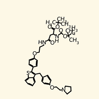 CC(C)(C)OC(=O)NC(CC(=O)NCCCOc1ccc(-c2sc3ccccc3c2Cc2ccc(OCCN3CCCC3)cc2)cc1)C(=O)OC(C)(C)C